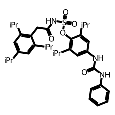 CC(C)c1cc(C(C)C)c(CC(=O)NS(=O)(=O)Oc2c(C(C)C)cc(NC(=O)Nc3ccccc3)cc2C(C)C)c(C(C)C)c1